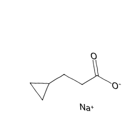 O=C([O-])CCC1CC1.[Na+]